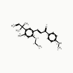 C=CC(C)(C)c1cc(C=CC(=O)c2ccc(NC)cc2)c(OCC)cc1O